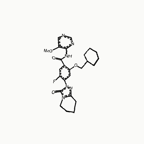 COc1cncnc1NC(=O)c1cc(F)c(-n2nc3n(c2=O)CCCC3)cc1OCC1CCCCC1